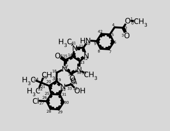 COC(=O)Cc1cccc(Nc2nc3c(c(=O)n(Cc4c(C(C)(C)C)c5c(Cl)cccc5n4C(=O)O)c(=O)n3C)n2C)c1